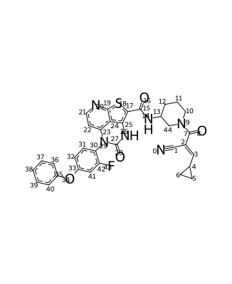 N#CC(=CC1CC1)C(=O)N1CCCC(NC(=O)c2sc3nccc4c3c2NC(=O)N4c2ccc(Oc3ccccc3)cc2F)C1